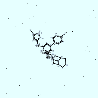 Cc1ccc(-c2cc(Nc3cc(C)[nH]n3)nc(NC3CC4CCCC(C3)N4CCC#N)n2)cn1